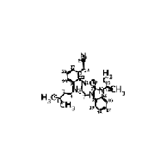 CC(C)CCn1c(Cn2c(=O)n(C(C)C)c3ccccc32)nc2c(CC#N)cccc21